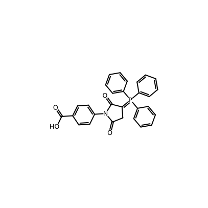 O=C(O)c1ccc(N2C(=O)CC(=P(c3ccccc3)(c3ccccc3)c3ccccc3)C2=O)cc1